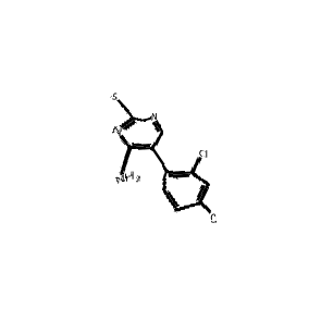 Nc1nc([S])ncc1-c1ccc(Cl)cc1Cl